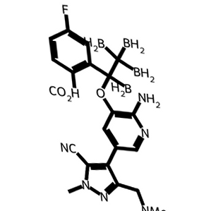 BC(B)(B)C(B)(Oc1cc(-c2c(CNC)nn(C)c2C#N)cnc1N)c1cc(F)ccc1C(=O)O